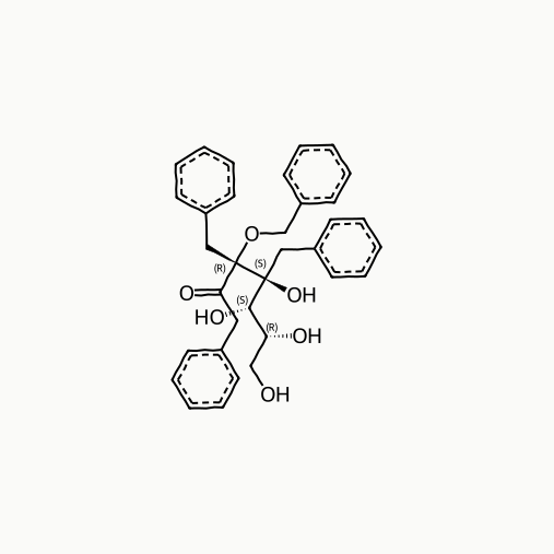 O=C(Cc1ccccc1)[C@](Cc1ccccc1)(OCc1ccccc1)[C@](O)(Cc1ccccc1)[C@@H](O)[C@H](O)CO